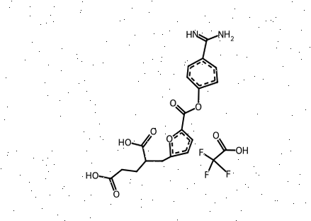 N=C(N)c1ccc(OC(=O)c2ccc(CC(CCC(=O)O)C(=O)O)o2)cc1.O=C(O)C(F)(F)F